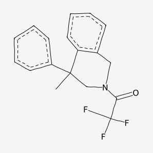 CC1(c2ccccc2)CN(C(=O)C(F)(F)F)Cc2ccccc21